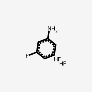 F.F.Nc1cccc(F)c1